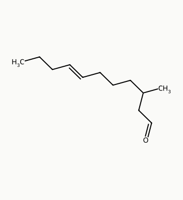 CCCC=CCCCC(C)CC=O